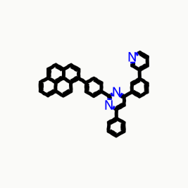 c1ccc(-c2cc(-c3cccc(-c4cccnc4)c3)nc(-c3ccc(-c4ccc5ccc6cccc7ccc4c5c67)cc3)n2)cc1